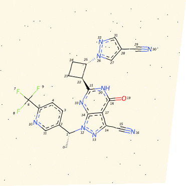 C[C@H](c1ccc(C(F)(F)F)nc1)n1nc(C#N)c2c(=O)[nH]c([C@H]3CC[C@@H]3n3cc(C#N)cn3)nc21